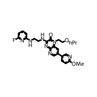 CCCOCCn1c(=O)c(NCCNc2cccc(F)n2)nc2ncc(-c3ccc(OC)nc3)cc21